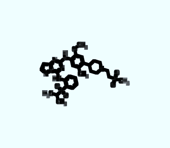 COc1cc(C2CCN(CCS(C)(=O)=O)CC2)c(C)cc1Nc1nc(Nc2ccccc2S(=O)(=O)C(C)C)n2nccc2n1